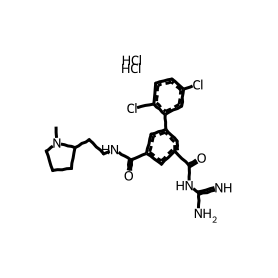 CN1CCCC1CCNC(=O)c1cc(C(=O)NC(=N)N)cc(-c2cc(Cl)ccc2Cl)c1.Cl.Cl